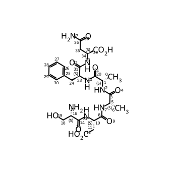 C[C@H](NC(=O)[C@H](C)NC(=O)[C@H](CC(=O)O)NC(=O)[C@@H](N)CO)C(=O)N[C@@H](Cc1ccccc1)C(=O)N[C@@H](CC(N)=O)C(=O)O